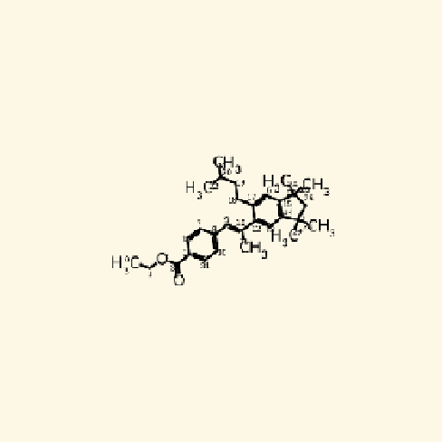 CCOC(=O)c1ccc(C=C(C)c2cc3c(cc2CCC(C)C)C(C)(C)CC3(C)C)cc1